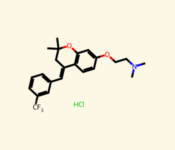 CN(C)CCOc1ccc2c(c1)OC(C)(C)CC2=Cc1cccc(C(F)(F)F)c1.Cl